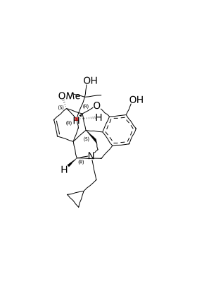 CO[C@@]12C=CC3(C[C@@H]1C(C)(C)O)[C@H]1Cc4ccc(O)c5c4[C@@]3(CCN1CC1CC1)[C@H]2O5